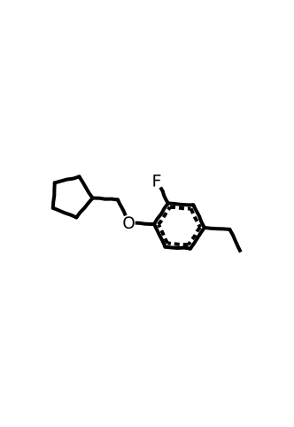 CCc1ccc(OCC2CCCC2)c(F)c1